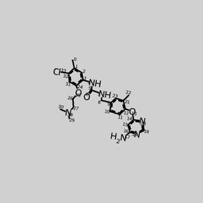 Cc1cc(NC(=O)NCc2ccc(Oc3cc(N)ncn3)c(C)c2)c(OCCN(C)C)cc1Cl